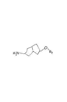 CC(C)OC1CC2CC(N)CC2C1